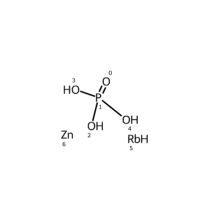 O=P(O)(O)O.[RbH].[Zn]